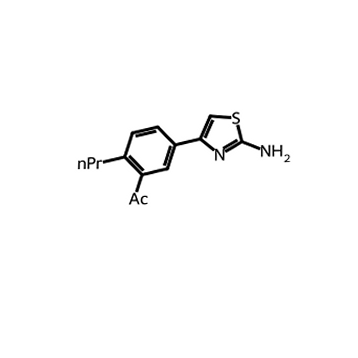 CCCc1ccc(-c2csc(N)n2)cc1C(C)=O